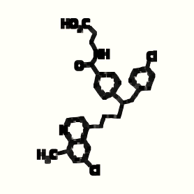 Cc1cc(Cl)cc2c(CCCC(Cc3ccc(Cl)cc3)c3ccc(C(=O)NCCC(=O)O)cc3)ccnc12